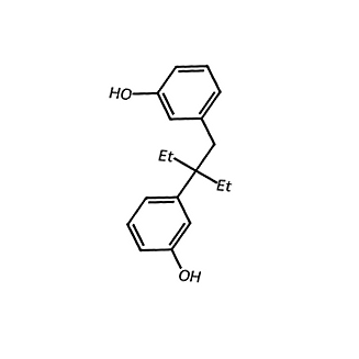 CCC(CC)(Cc1cccc(O)c1)c1cccc(O)c1